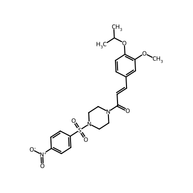 COc1cc(/C=C/C(=O)N2CCN(S(=O)(=O)c3ccc([N+](=O)[O-])cc3)CC2)ccc1OC(C)C